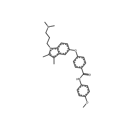 COc1ccc(NC(=O)c2ccc(Oc3ccc4c(c3)c(C)c(C)n4CCCN(C)C)cc2)cc1